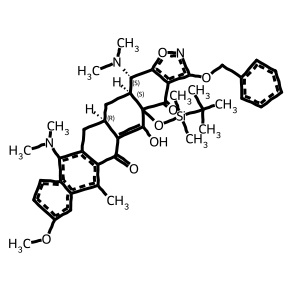 COc1ccc2c(N(C)C)c3c(c(C)c2c1)C(=O)C1=C(O)C2(O[Si](C)(C)C(C)(C)C)C(=O)c4c(OCc5ccccc5)noc4[C@@H](N(C)C)[C@@H]2C[C@@H]1C3